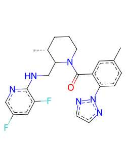 Cc1ccc(-n2nccn2)c(C(=O)N2CCC[C@@H](C)C2CNc2ncc(F)cc2F)c1